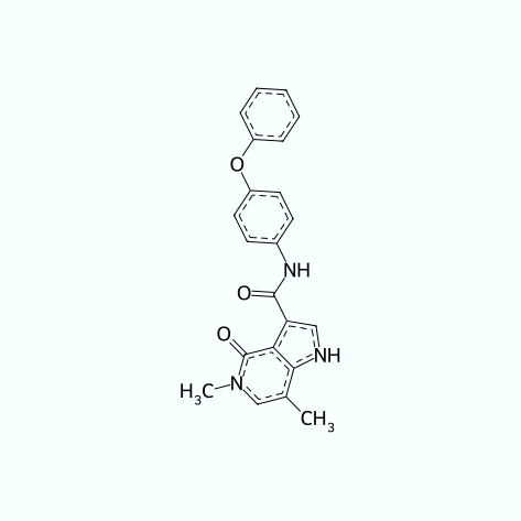 Cc1cn(C)c(=O)c2c(C(=O)Nc3ccc(Oc4ccccc4)cc3)c[nH]c12